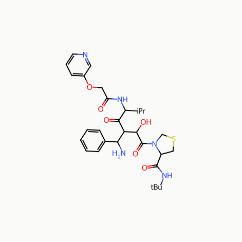 CC(C)C(NC(=O)COc1cccnc1)C(=O)C(C(O)C(=O)N1CSCC1C(=O)NC(C)(C)C)C(N)c1ccccc1